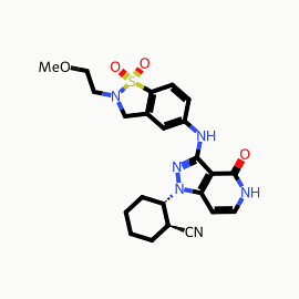 COCCN1Cc2cc(Nc3nn([C@H]4CCCC[C@@H]4C#N)c4cc[nH]c(=O)c34)ccc2S1(=O)=O